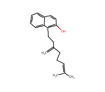 C=C(CCC=C(C)C)CCc1c(O)ccc2ccccc12